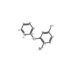 Fc1ccc(Br)c(Oc2ccccn2)c1